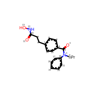 CCCN(C(=O)c1ccc(CCC(=O)NO)cc1)c1ccccc1